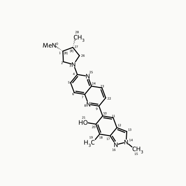 CN[C@H]1CN(c2ccc3nc(-c4cc5cn(C)nc5c(C)c4O)ccc3n2)C[C@H]1C